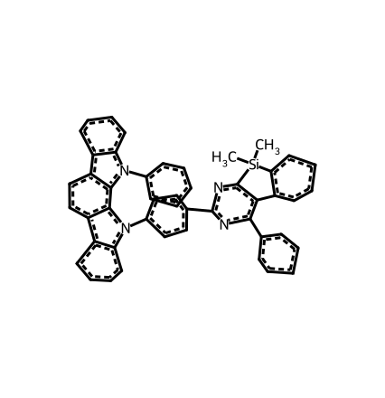 C[Si]1(C)c2ccccc2-c2c(-c3ccccc3)nc(-c3ccc(-n4c5ccccc5c5ccc6c7ccccc7n(-c7ccccc7)c6c54)cc3)nc21